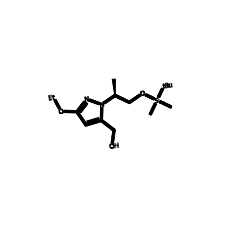 CCOc1cc(CO)n([C@@H](C)CO[Si](C)(C)C(C)(C)C)n1